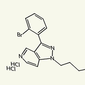 Cl.Cl.NCCCn1nc(-c2ccccc2Br)c2cnccc21